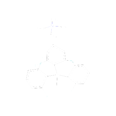 CCCC[B-](c1c(F)cccc1F)(c1c(F)cccc1F)c1c(F)cccc1F.CCCC[N+](CCCC)(CCCC)CCCC